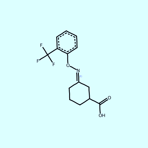 O=C(O)C1CCC/C(=N\Oc2ccccc2C(F)(F)F)C1